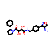 Nc1conc1-c1ccc(CNC(=O)[C@H](O)[C@@H](O)C(=O)N2CCC[C@@H]2c2ccccc2)cc1